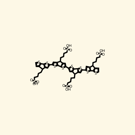 O=S(=O)(O)CCCCC1c2ccsc2-c2sc(-c3cc4c(s3)-c3sc(-c5cc6c(s5)-c5sc(-c7cc8c(s7)-c7sccc7C8CCCCS(=O)(=O)O)cc5C6CCCCS(=O)(=O)O)cc3C4CCCCS(=O)(=O)O)cc21